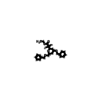 CCOC(=O)C(F)(F)C1CC(OCc2ccccc2)CC(COCc2ccccc2)O1